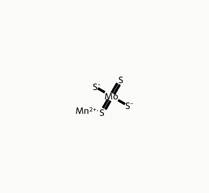 [Mn+2].[S]=[Mo](=[S])([S-])[S-]